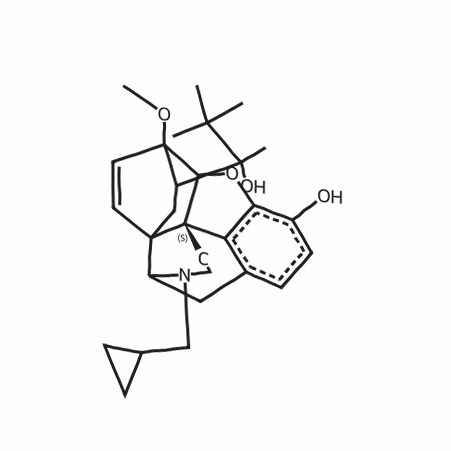 COC12C=CC3(CC1C(C)(O)C(C)(C)C)C1Cc4ccc(O)c5c4[C@@]3(CCN1CC1CC1)C2O5